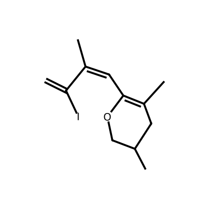 C=C(I)/C(C)=C\C1=C(C)CC(C)CO1